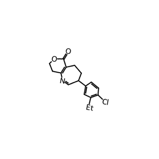 CCc1cc(C2C=NC3=C(CC2)C(=O)OCC3)ccc1Cl